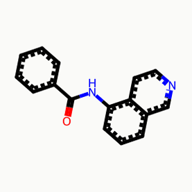 O=C(Nc1cccc2cnccc12)c1ccccc1